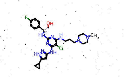 CN1CCN(CCCNc2nc(N[C@@H](CO)c3ccc(F)cc3)nc(Nc3cc(C4CC4)[nH]n3)c2Cl)CC1